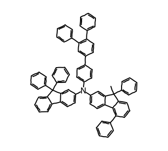 CC1(c2ccccc2)c2cc(N(c3ccc(-c4ccc(-c5ccccc5)c(-c5ccccc5)c4)cc3)c3ccc4c(c3)C(c3ccccc3)(c3ccccc3)c3ccccc3-4)ccc2-c2c(-c3ccccc3)cccc21